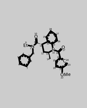 CCN(Cc1ccccc1)C(=O)[C@H]1C[C@H](C)N(C(=O)c2ccc(OC)cc2)c2ccccc21